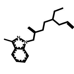 C=CCC(CC)CCC(=C)Cn1nc(C)c2ccccc21